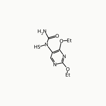 CCOc1ncc(N(S)C(N)=O)c(OCC)n1